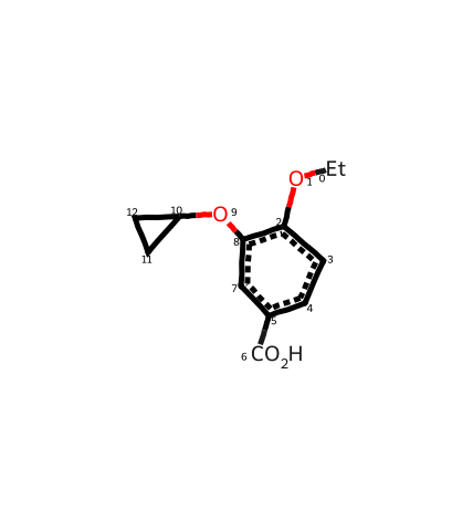 CCOc1ccc(C(=O)O)cc1OC1CC1